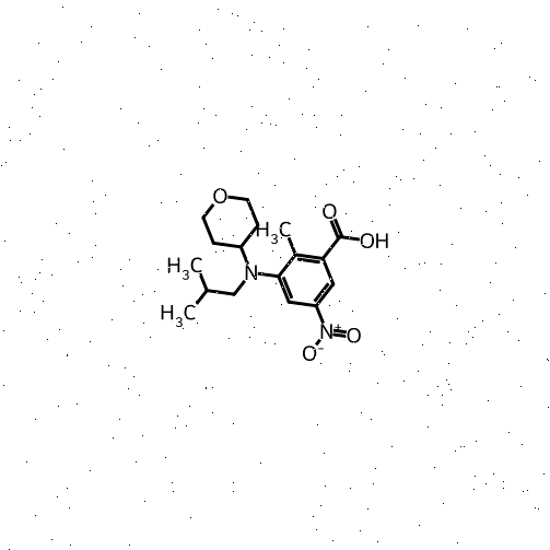 Cc1c(C(=O)O)cc([N+](=O)[O-])cc1N(CC(C)C)C1CCOCC1